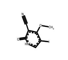 COc1c(I)c[nH]c(=O)c1C#N